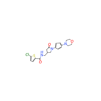 O=C(NCC1CC(=O)N(c2ccc(N3CCOCC3)cc2)C1)c1ccc(Cl)s1